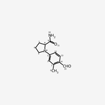 Cc1cc(N2CCCC2C(N)=O)ccc1C=O